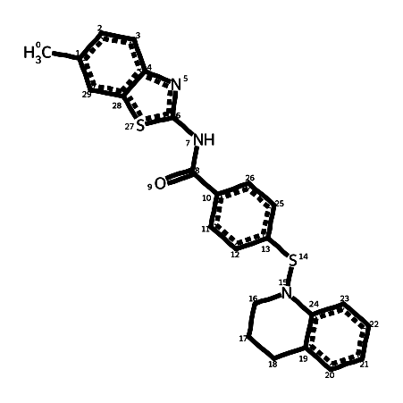 Cc1ccc2nc(NC(=O)c3ccc(SN4CCCc5ccccc54)cc3)sc2c1